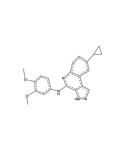 COc1ccc(Nc2nc3ccc(C4CC4)cc3c3cn[nH]c23)cc1OC